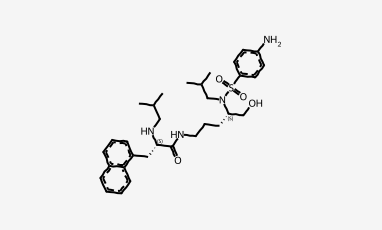 CC(C)CN[C@@H](Cc1cccc2ccccc12)C(=O)NCCC[C@@H](CO)N(CC(C)C)S(=O)(=O)c1ccc(N)cc1